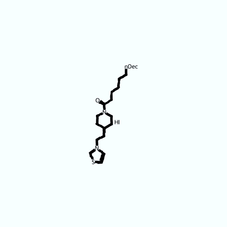 CCCCCCCCCCCCCCCC(=O)N1CCC(CCN2C=CSC2)CC1.I